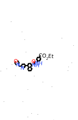 CCOC(=O)c1ccc(NC(=O)Nc2ccc(-c3ccc(CN4CCOCC4)nc3)c3ccccc23)cc1